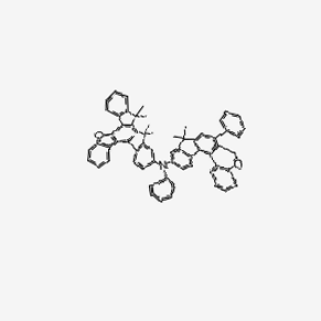 CC1(C)c2cc(N(c3ccccc3)c3ccc4c(c3)C(C)(C)c3c5c(c6oc7ccccc7c6c3-4)-c3ccccc3C5(C)C)ccc2-c2c1cc(-c1ccccc1)c1c2-c2ccccc2OC1